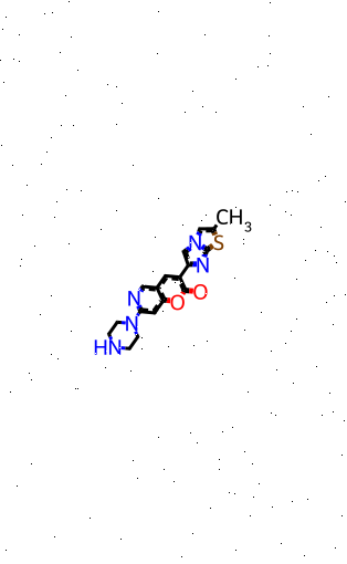 Cc1cn2cc(-c3cc4cnc(N5CCNCC5)cc4oc3=O)nc2s1